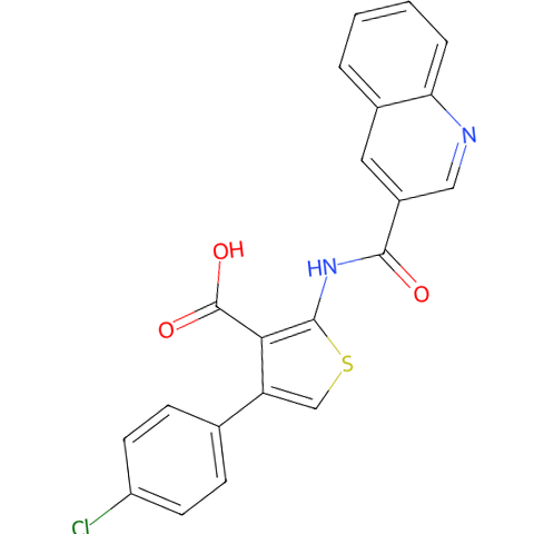 O=C(Nc1scc(-c2ccc(Cl)cc2)c1C(=O)O)c1cnc2ccccc2c1